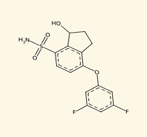 NS(=O)(=O)c1ccc(Oc2cc(F)cc(F)c2)c2c1C(O)CC2